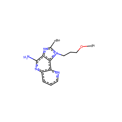 CCCCc1nc2c(N)nc3cccnc3c2n1CCCOC(C)C